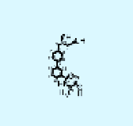 C#CCN(C)Cc1ccc(-c2cccc(C(=O)NC(C)C(=O)O)c2)cc1